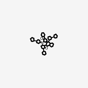 c1ccc(-c2ccc(N(c3cccc4c3oc3ccccc34)c3ccc(-c4ccccc4)c4oc5c6ccccc6c(-c6cccc(-c7ccccc7)c6)cc5c34)cc2)cc1